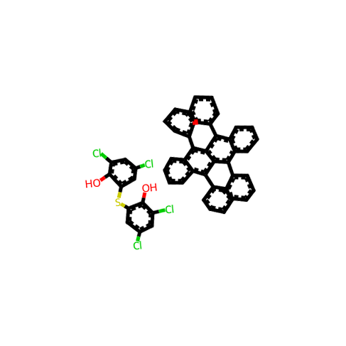 Oc1c(Cl)cc(Cl)cc1Sc1cc(Cl)cc(Cl)c1O.c1ccc(-c2c3ccccc3c(-c3ccccc3)c3c(-c4ccccc4)c4ccccc4c(-c4ccccc4)c23)cc1